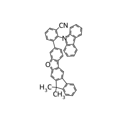 CC1(C)c2ccccc2-c2cc3c(cc21)oc1cc(-c2cccc(C#N)c2-n2c4ccccc4c4ccccc42)ccc13